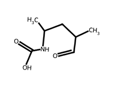 CC(C=O)CC(C)NC(=O)O